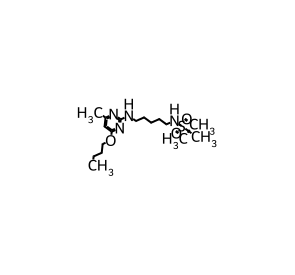 CCCCOc1cc(C)nc(NCCCCCNS(=O)(=O)C(C)(C)C)n1